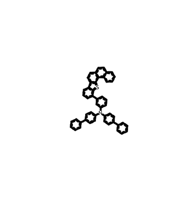 c1ccc(-c2ccc(N(c3ccc(-c4ccccc4)cc3)c3cccc(-c4cccc5c4sc4c5ccc5ccc6ccccc6c54)c3)cc2)cc1